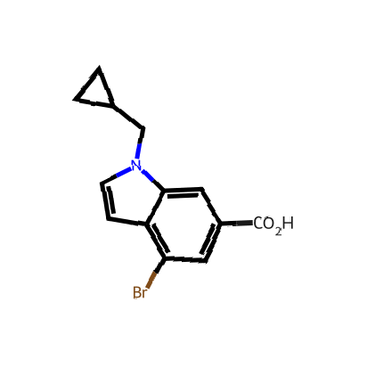 O=C(O)c1cc(Br)c2ccn(CC3CC3)c2c1